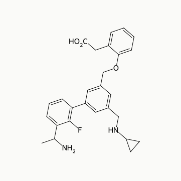 CC(N)c1cccc(-c2cc(CNC3CC3)cc(COc3ccccc3CC(=O)O)c2)c1F